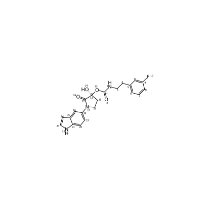 O=C(NCCc1cccc(F)c1)O[C@@]1(O)CCN(c2ccc3[nH]ccc3c2)C1=O